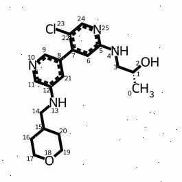 C[C@@H](O)CNc1cc(-c2cncc(NCC3CCOCC3)c2)c(Cl)cn1